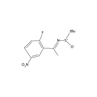 C/C(=N\[S+]([O-])C(C)(C)C)c1cc([N+](=O)[O-])ccc1F